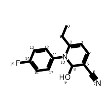 CCC1=CC=C(C#N)C(O)N1c1ccc(F)cc1